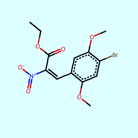 CCOC(=O)/C(=C\c1cc(OC)c(Br)cc1OC)[N+](=O)[O-]